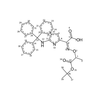 CC(ON=C(C(=O)O)c1csc(NC(c2ccccc2)(c2ccccc2)c2ccccc2)n1)C(=O)OC(C)(C)C